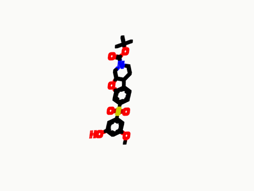 COc1cc(O)cc(S(=O)(=O)c2ccc3c(c2)OC2CN(C(=O)OC(C)(C)C)CCC32)c1